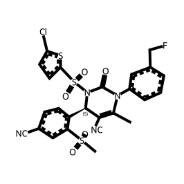 CC1=C(C#N)[C@@H](c2ccc(C#N)cc2S(C)(=O)=O)N(S(=O)(=O)c2ccc(Cl)s2)C(=O)N1c1cccc(CF)c1